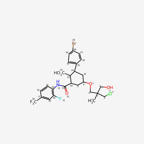 CC(CO)(CCl)COC1CC(C(=O)Nc2ccc(C(F)(F)F)cc2F)C(C(=O)O)C(c2ccc(Br)cc2)C1